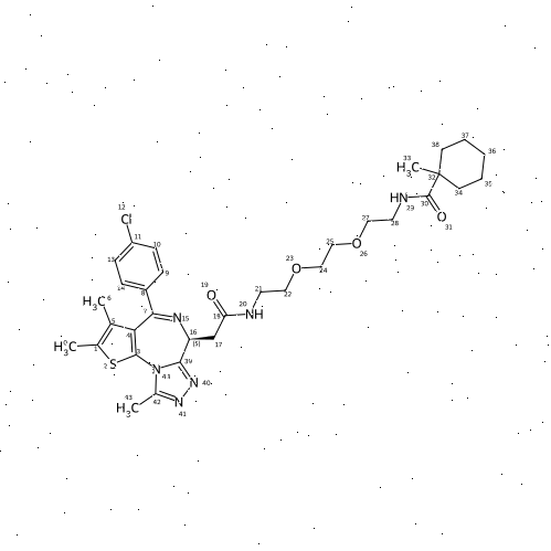 Cc1sc2c(c1C)C(c1ccc(Cl)cc1)=N[C@@H](CC(=O)NCCOCCOCCNC(=O)C1(C)CCCCC1)c1nnc(C)n1-2